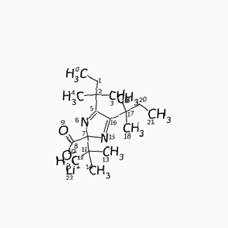 CCC(C)(C)C1=NC(C(=O)[O-])(C(C)(C)C)N=C1C(C)(C)CC.[Li+]